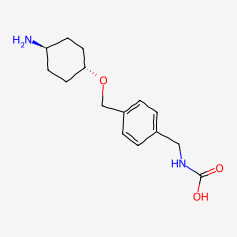 N[C@H]1CC[C@H](OCc2ccc(CNC(=O)O)cc2)CC1